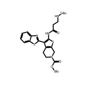 CC[C@H](C)NCCC(=O)Nc1sc2c(c1-c1nc3ccccc3s1)CCN(C(=O)OC(C)(C)C)C2